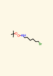 CC(C)(C)OONCCCCCCBr